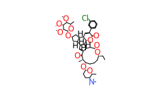 CC[C@H]1CCC[C@H](O[C@H]2CC[C@H](N(C)C)C(C)O2)[C@@H](C)C(=O)C2=C[C@H]3[C@@H]4C[C@H](O[C@@H]5OC(C)[C@H](OC)C(OC)C5OC)C[C@H]4C4C=C(c5cccc(Cl)c5)C(=O)OC4[C@H]3[C@@H]2CC(=O)O1